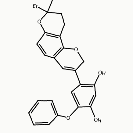 CCC1(C)CCc2c(ccc3c2OCC(c2cc(Oc4ccccc4)c(O)cc2O)=C3)O1